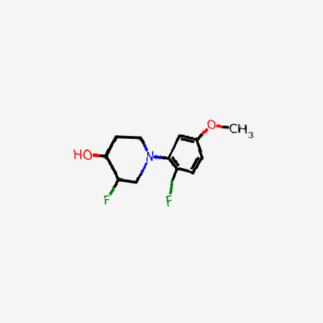 COc1ccc(F)c(N2CCC(O)C(F)C2)c1